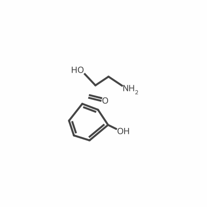 C=O.NCCO.Oc1ccccc1